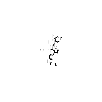 CNc1nc(N[C@@H]2CCN(C)CC2(F)F)nn2cc(F)c(-c3ccc4nc(C)n(CCF)c4n3)c12